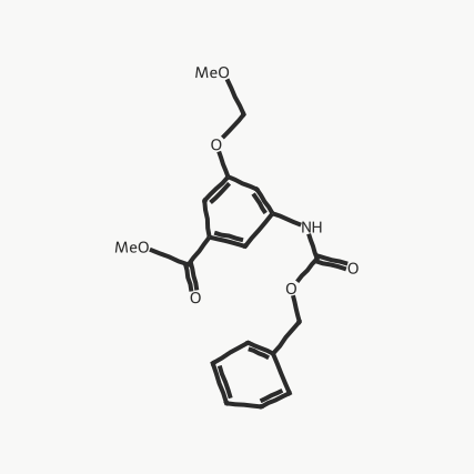 COCOc1cc(NC(=O)OCc2ccccc2)cc(C(=O)OC)c1